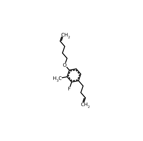 C=CCCCOc1ccc(CCC=C)c(F)c1C